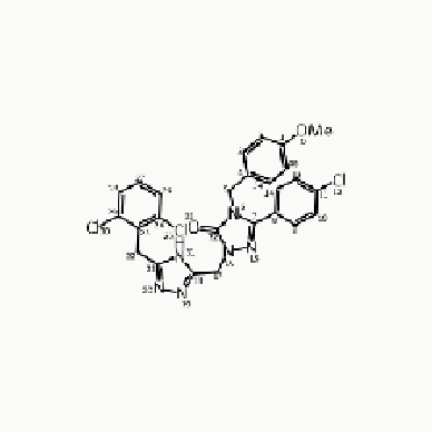 COc1ccc(Cn2c(-c3ccc(Cl)cc3)nn(Cc3nnc(Cc4c(Cl)cccc4Cl)[nH]3)c2=O)cc1